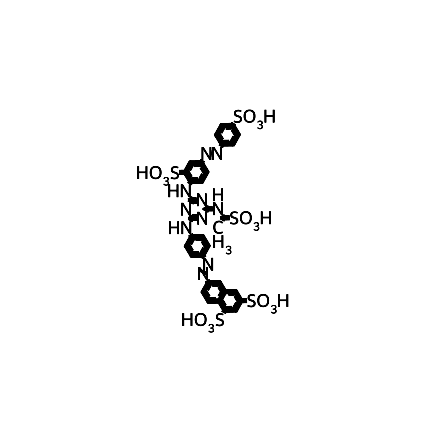 CC(Nc1nc(Nc2ccc(N=Nc3ccc4c(S(=O)(=O)O)cc(S(=O)(=O)O)cc4c3)cc2)nc(Nc2ccc(N=Nc3ccc(S(=O)(=O)O)cc3)cc2S(=O)(=O)O)n1)S(=O)(=O)O